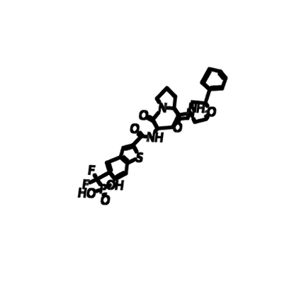 NCCCC(NC(=O)c1cc2cc(C(F)(F)P(=O)(O)O)ccc2s1)C(=O)N1CCCC1C(=O)N1CCOC(c2ccccc2)C1